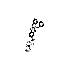 CC(C)(C)OC(=O)NNC(=O)c1ccc(O[C@@H](Cc2ccccc2)C(=O)OCc2ccccc2)cc1